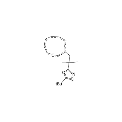 CC(C)(C)c1nnc(C(C)(C)Cc2ccccccccc2)o1